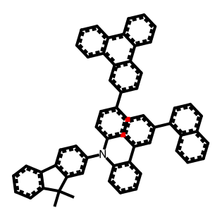 CC1(C)c2ccccc2-c2ccc(N(c3ccc(-c4ccc5c6ccccc6c6ccccc6c5c4)cc3)c3ccccc3-c3cccc(-c4cccc5ccccc45)c3)cc21